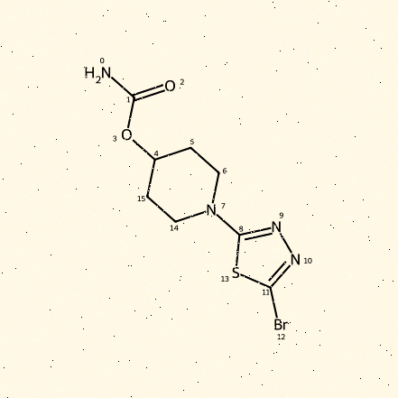 NC(=O)OC1CCN(c2nnc(Br)s2)CC1